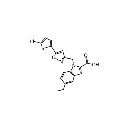 CCc1ccc2c(c1)cc(C(=O)O)n2Cc1cc(-c2ccc(Cl)s2)on1